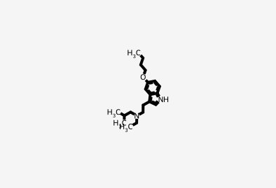 CCCCOc1ccc2[nH]cc(CCN(CC)CC(C)C)c2c1